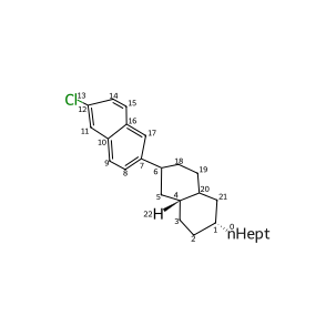 CCCCCCC[C@@H]1CC[C@@H]2CC(c3ccc4cc(Cl)ccc4c3)CCC2C1